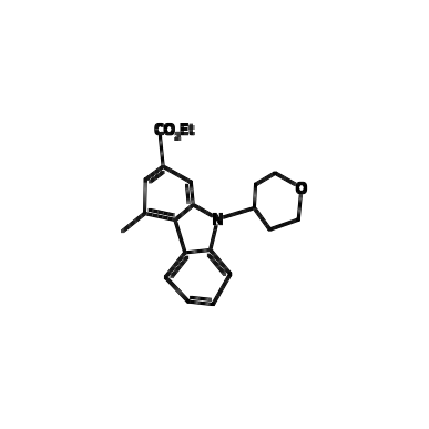 CCOC(=O)c1cc(C)c2c3ccccc3n(C3CCOCC3)c2c1